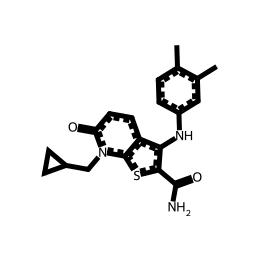 Cc1ccc(Nc2c(C(N)=O)sc3c2ccc(=O)n3CC2CC2)cc1C